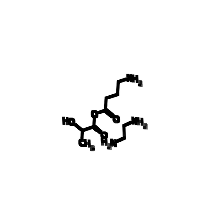 CC(O)C(=O)OC(=O)CCCN.NCCN